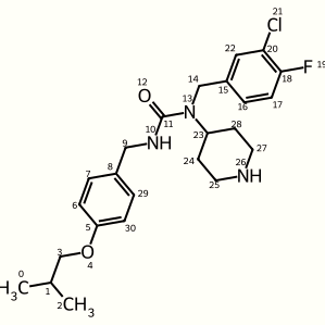 CC(C)COc1ccc(CNC(=O)N(Cc2ccc(F)c(Cl)c2)C2CCNCC2)cc1